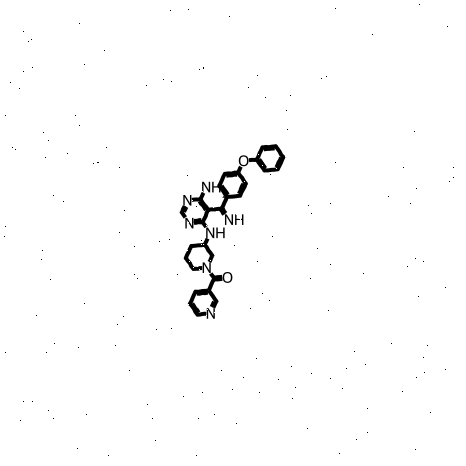 N=C(c1ccc(Oc2ccccc2)cc1)c1c(N)ncnc1NC1CCCN(C(=O)c2cccnc2)C1